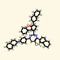 CC1=C(c2ccc3ccccc3c2)N=C(c2ccc(-c3ccc4ccccc4c3)c3oc4ccccc4c23)N=C(c2ccc(-c3ccc4ccccc4c3)cc2)C1